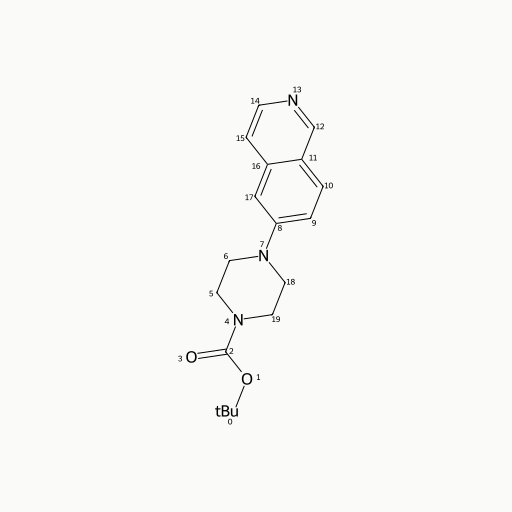 CC(C)(C)OC(=O)N1CCN(c2ccc3cnccc3c2)CC1